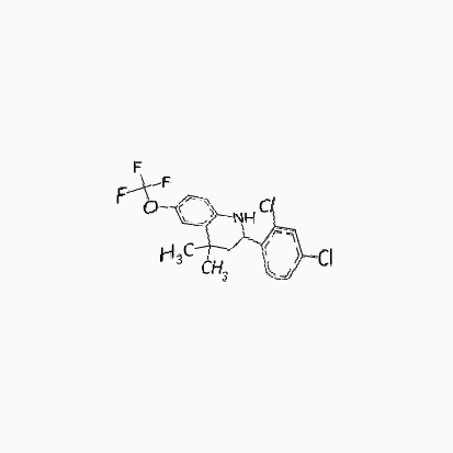 CC1(C)CC(c2ccc(Cl)cc2Cl)Nc2ccc(OC(F)(F)F)cc21